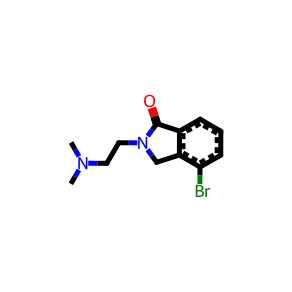 CN(C)CCN1Cc2c(Br)cccc2C1=O